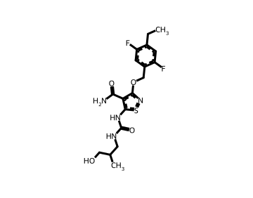 CCc1cc(F)c(COc2nsc(NC(=O)NCC(C)CO)c2C(N)=O)cc1F